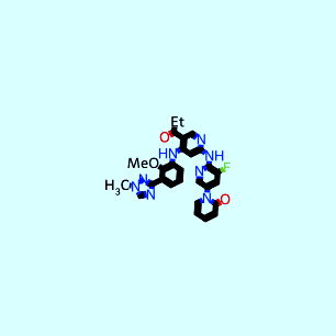 CCC(=O)c1cnc(Nc2ncc(-n3ccccc3=O)cc2F)cc1Nc1cccc(-c2ncn(C)n2)c1OC